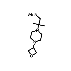 CNCC(C)(C)N1CCN(C2COC2)CC1